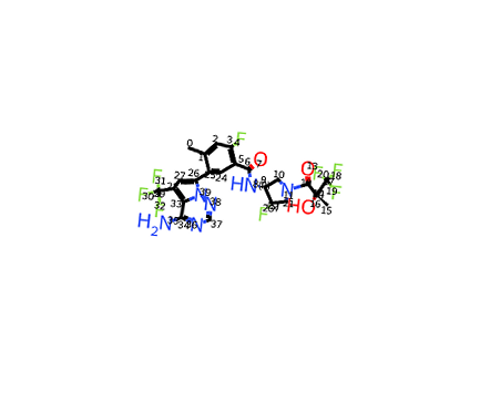 Cc1cc(F)c(C(=O)N[C@@H]2CN(C(=O)[C@@](C)(O)C(F)(F)F)C[C@@H]2F)cc1-c1cc(C(F)(F)F)c2c(N)ncnn12